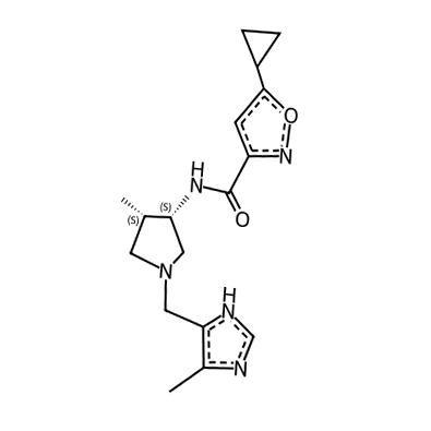 Cc1nc[nH]c1CN1C[C@H](C)[C@H](NC(=O)c2cc(C3CC3)on2)C1